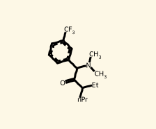 CCCC(CC)C(=O)C(c1cccc(C(F)(F)F)c1)N(C)C